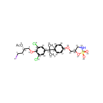 CC(=O)O[C@@H](CCI)COc1c(Cl)cc(C(C)(C)c2ccc(OC[C@H]3CNS(=O)(=O)O3)cc2)cc1Cl